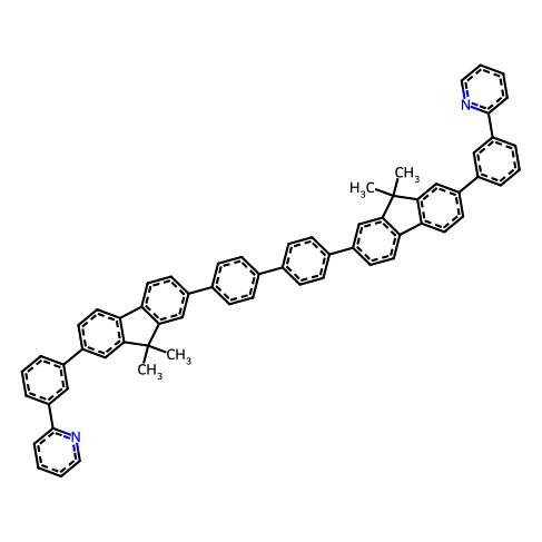 CC1(C)c2cc(-c3ccc(-c4ccc(-c5ccc6c(c5)C(C)(C)c5cc(-c7cccc(-c8ccccn8)c7)ccc5-6)cc4)cc3)ccc2-c2ccc(-c3cccc(-c4ccccn4)c3)cc21